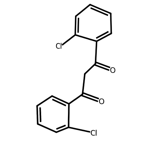 O=C(CC(=O)c1ccccc1Cl)c1ccccc1Cl